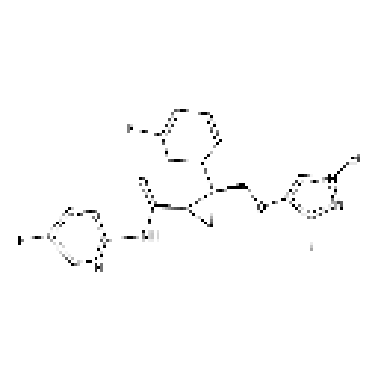 CCn1cc(OC[C@@]2(C3C=CC=C(F)C3)C[C@H]2C(=O)Nc2ccc(F)cn2)c(C)n1